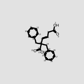 O=C(O)CC=CC(Cc1ccccc1)(Cc1ccccc1)C(=O)O